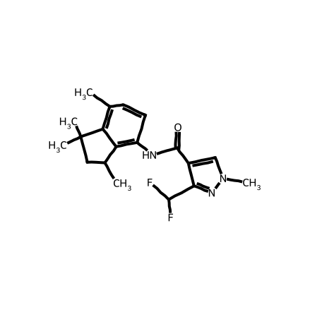 Cc1ccc(NC(=O)c2cn(C)nc2C(F)F)c2c1C(C)(C)CC2C